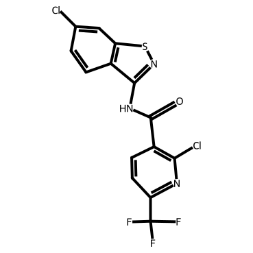 O=C(Nc1nsc2cc(Cl)ccc12)c1ccc(C(F)(F)F)nc1Cl